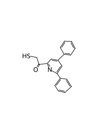 O=C(CS)c1cc(-c2ccccc2)cc(-c2ccccc2)n1